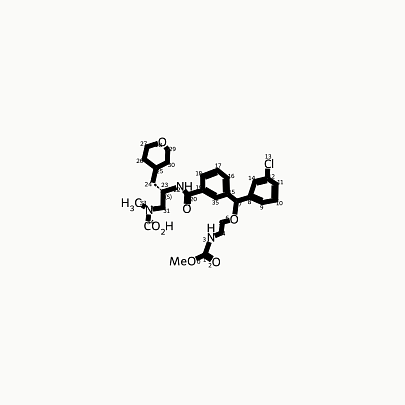 COC(=O)NCCOC(c1cccc(Cl)c1)c1cccc(C(=O)N[C@@H](CC2CCOCC2)CN(C)C(=O)O)c1